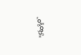 CC1CNC(=O)c2cc3ccc(C(=O)Nc4ccc(F)cc4)cc3n21